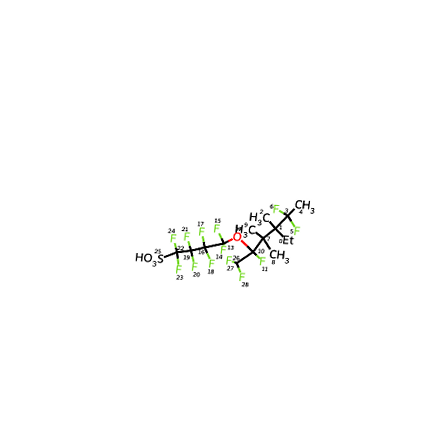 CCC(C)(C(C)(F)F)C(C)(C)C(F)(OC(F)(F)C(F)(F)C(F)(F)C(F)(F)S(=O)(=O)O)C(F)F